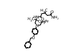 CC(C)CCN(CC(C)(C)NC(=O)[CH]C(C)CC(N)=O)c1ccc(OCc2ccccc2)cc1